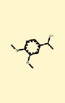 COc1ccc(C(C)S)cc1OC